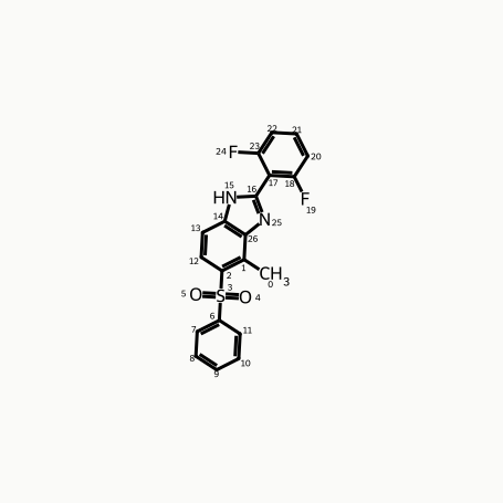 Cc1c(S(=O)(=O)c2ccccc2)ccc2[nH]c(-c3c(F)cccc3F)nc12